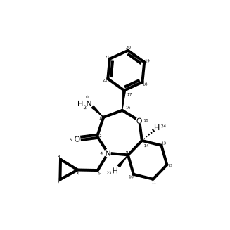 N[C@@H]1C(=O)N(CC2CC2)[C@H]2CCCC[C@@H]2O[C@@H]1c1ccccc1